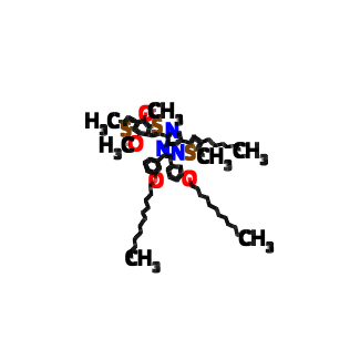 CCCCCCCCCCCCOc1cccc(-c2nc3c(-c4cc(CCCCCC)c(C)s4)cnc(-c4cc5c(OC)c6sc(C)cc6c(OC)c5s4)c3nc2-c2cccc(OCCCCCCCCCCCC)c2)c1